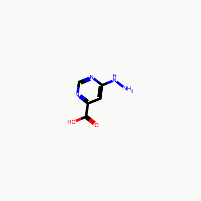 NNc1cc(C(=O)O)ncn1